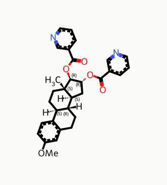 COc1ccc2c(c1)CC[C@@H]1[C@@H]2CC[C@@]2(C)[C@H]1C[C@@H](OC(=O)c1cccnc1)[C@@H]2OC(=O)c1cccnc1